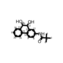 CC(C)(C)C(=O)Nc1ccc2c(c1)C(O)C(O)c1ccccc1-2